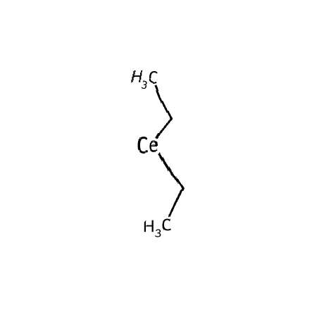 C[CH2][Ce][CH2]C